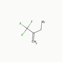 C=C(CC(C)C)C(F)(F)F